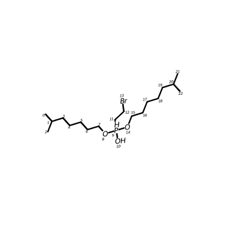 CC(C)CCCCCO[PH](O)(CCBr)OCCCCCC(C)C